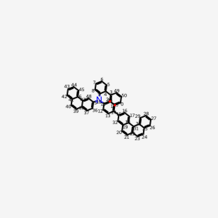 c1ccc(-c2ccccc2N(c2ccc(-c3ccc4c(ccc5ccc6ccccc6c54)c3)cc2)c2ccc3ccc4ccccc4c3c2)cc1